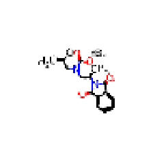 C=C(C)CN(CC(C)N1C(=O)c2ccccc2C1=O)C(=O)OC(C)(C)C